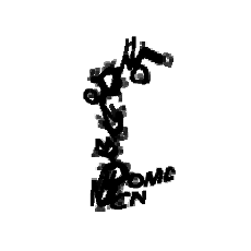 C=CC(=O)Nc1ccc(C(=O)N2CC[C@H](n3cc(-c4cc(OC)c5c(C#N)cnn5c4)cn3)C2)c(C)c1